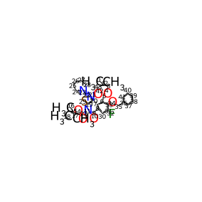 CC1(C)COC(c2cc(C(=O)N(C(=O)OC(C)(C)C)c3cnc(N4CCCCC4)s3)cc(F)c2OCc2ccccc2)OC1